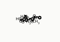 COc1c(-c2cc3c(s2)C(C)(C)CN(C(=O)OCc2ccccc2)C3)ccc2c(=O)c(C(=O)O)cn(C3CC3)c12